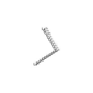 [Cr+3].[Cr+3].[La+3].[La+3].[O-2].[O-2].[O-2].[O-2].[O-2].[O-2].[O-2].[O-2].[O-2].[O-2].[O-2].[O-2].[O-2].[Sr+2].[Sr+2].[V+5].[V+5]